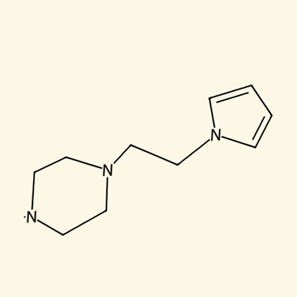 c1ccn(CCN2CC[N]CC2)c1